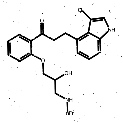 CCCNCC(O)COc1ccccc1C(=O)CCc1cccc2[nH]cc(Cl)c12